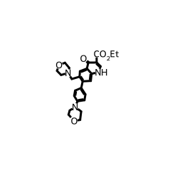 CCOC(=O)c1c[nH]c2cc(-c3ccc(N4CCOCC4)cc3)c(CN3CCOCC3)cc2c1=O